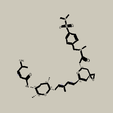 CC(=O)OC(C)/C=C\C(=O)N[C@@H]1C[C@H](C)[C@H](C/C=C(C)/C=C/[C@@H]2C[C@]3(CO3)C[C@@H](CC(=O)N(C)Cc3ccc(S(=O)(=O)N(C)C)cc3)O2)O[C@@H]1C